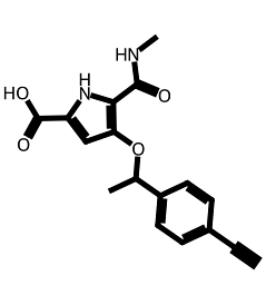 C#Cc1ccc(C(C)Oc2cc(C(=O)O)[nH]c2C(=O)NC)cc1